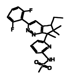 CCC1c2cc(-c3c(F)cccc3F)nnc2C(C)(c2cccc(NS(C)(=O)=O)n2)C1(C)C